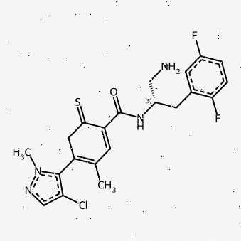 CC1=C(c2c(Cl)cnn2C)CC(=S)C(C(=O)N[C@H](CN)Cc2cc(F)ccc2F)=C1